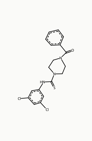 O=C(c1ccccc1)N1CCN(C(=S)Nc2cc(Cl)cc(Cl)c2)CC1